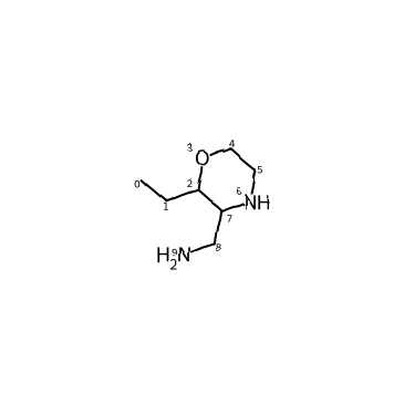 CCC1OCCNC1CN